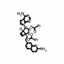 CC(C)C(=O)O[C@H]1[C@H](n2ccc3c(N)ncnc32)[C@H]2C#C[C@@]2(CCc2ccc3ccc(N)nc3c2)[C@H]1OC(=O)C(C)C